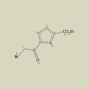 CCOC(=O)c1ccc(C(=O)CBr)s1